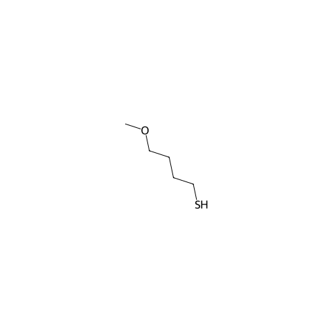 COCCCCS